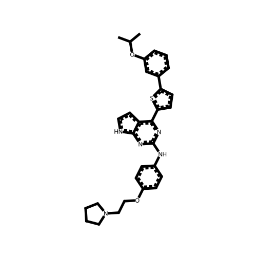 CC(C)Oc1cccc(-c2ccc(-c3nc(Nc4ccc(OCCN5CCCC5)cc4)nc4[nH]ccc34)s2)c1